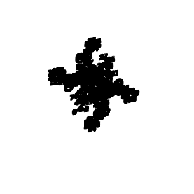 CC(C)c1cc(C(C)C)c(-c2cc3c4c(cc5c(-c6c(C(C)C)cc(C(C)C)cc6C(C)C)cc6c7c(cc2c4c57)B2c4ccc(C(=O)OCc5ccccc5)cc4-c4cc(C(=O)OCc5ccccc5)cc-6c42)B2c4ccc(C(=O)OCc5ccccc5)cc4-c4cc(C(=O)OCc5ccccc5)cc-3c42)c(C(C)C)c1